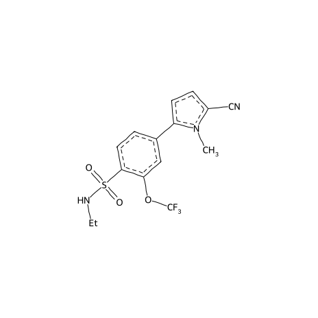 CCNS(=O)(=O)c1ccc(-c2ccc(C#N)n2C)cc1OC(F)(F)F